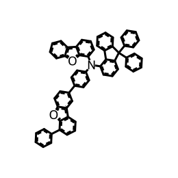 c1ccc(-c2cccc3c2oc2ccc(-c4ccc(N(c5cccc6c5-c5ccccc5C6(c5ccccc5)c5ccccc5)c5cccc6c5oc5ccccc56)cc4)cc23)cc1